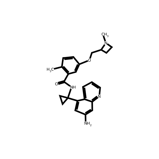 Cc1ccc(OCC2CCN2C)cc1C(=O)NC1(c2cc(N)cc3ncccc23)CC1